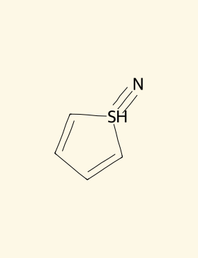 N#[SH]1C=CC=C1